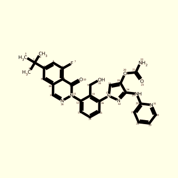 CC(C)(C)c1cc(F)c2c(=O)n(-c3cccc(-n4cc(OC(N)=O)c(Nc5ccccn5)n4)c3CO)ncc2c1